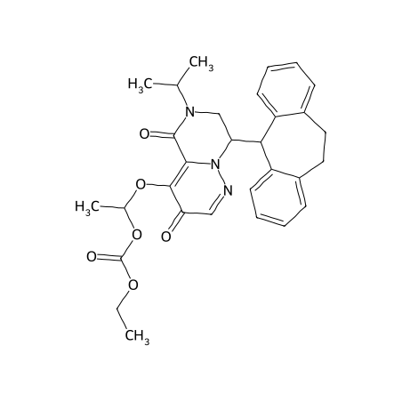 CCOC(=O)OC(C)Oc1c2n(ncc1=O)C(C1c3ccccc3CCc3ccccc31)CN(C(C)C)C2=O